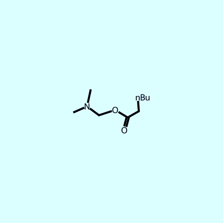 CCCCCC(=O)OCN(C)C